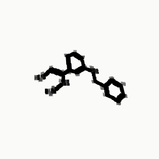 N/C=C(\NN)c1cccc(NCc2ccccc2)c1